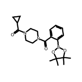 CC1(C)OB(c2ccccc2C(=O)N2CCN(C(=O)C3CC3)CC2)OC1(C)C